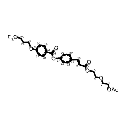 CC(=O)OCCOCCOC(=O)/C=C/c1ccc(OC(=O)c2ccc(OCCCC(F)(F)F)cc2)cc1